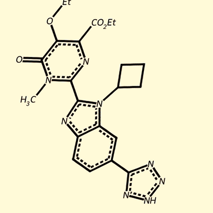 CCOC(=O)c1nc(-c2nc3ccc(-c4nn[nH]n4)cc3n2C2CCC2)n(C)c(=O)c1OCC